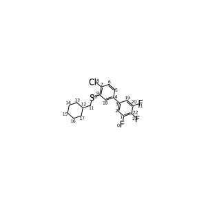 Fc1cc(-c2ccc(Cl)c(SCC3CCCCC3)c2)cc(F)c1F